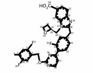 Cc1cc(F)c(COc2nccc(-c3ccc(Cc4nc5ccc(C(=O)O)cc5n4C[C@@H]4CCO4)cc3F)n2)cc1F